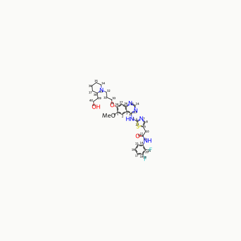 COc1cc2c(Nc3ncc(CC(=O)Nc4cccc(F)c4F)s3)ncnc2cc1OCCCN1CCCCC1CCO